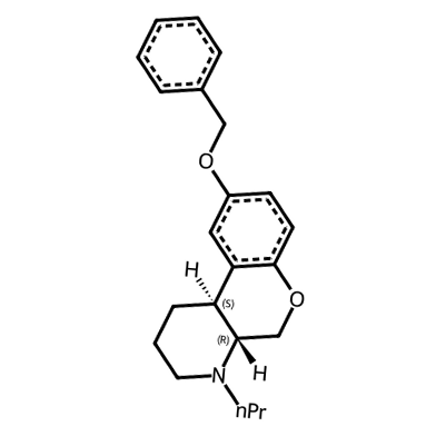 CCCN1CCC[C@H]2c3cc(OCc4ccccc4)ccc3OC[C@@H]21